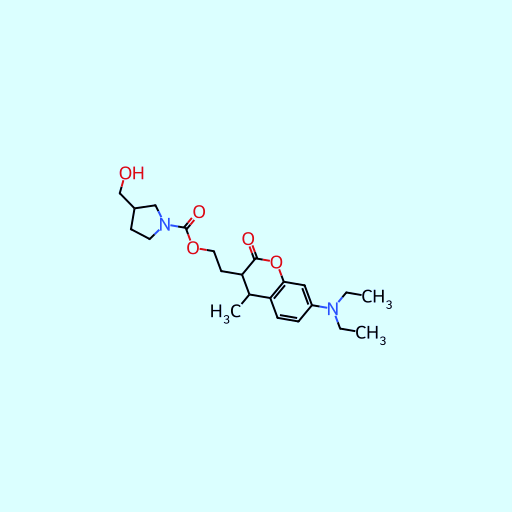 CCN(CC)c1ccc2c(c1)OC(=O)C(CCOC(=O)N1CCC(CO)C1)C2C